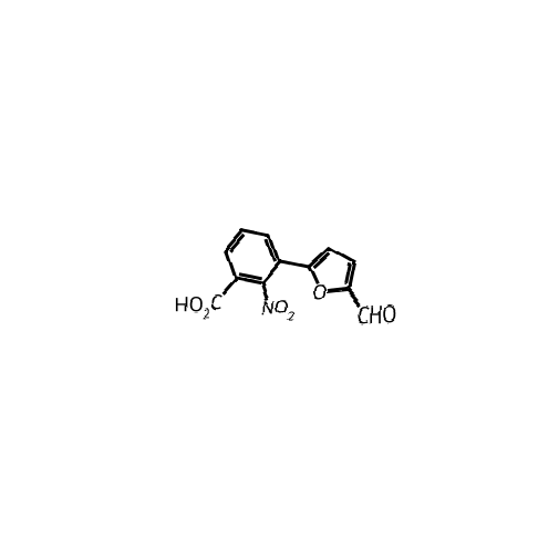 O=Cc1ccc(-c2cccc(C(=O)O)c2[N+](=O)[O-])o1